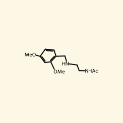 COc1ccc(CNCCNC(C)=O)c(OC)c1